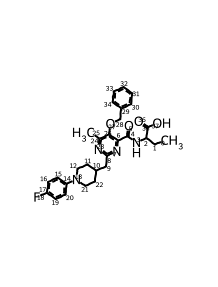 CCC(NC(=O)c1nc(CC2CCN(c3ccc(F)cc3)CC2)nc(C)c1OCc1ccccc1)C(=O)O